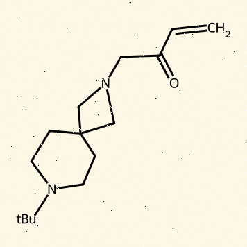 C=CC(=O)CN1CC2(CCN(C(C)(C)C)CC2)C1